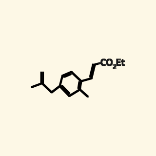 C=C(C)Cc1ccc(/C=C/C(=O)OCC)c(C)c1